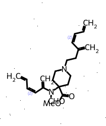 C=C/C=C\C(=C)CCN1CCC(C(=O)OC)(N(C=O)C(=C)/C=C\C=C)CC1